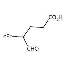 CCCC(C=O)CCC(=O)O